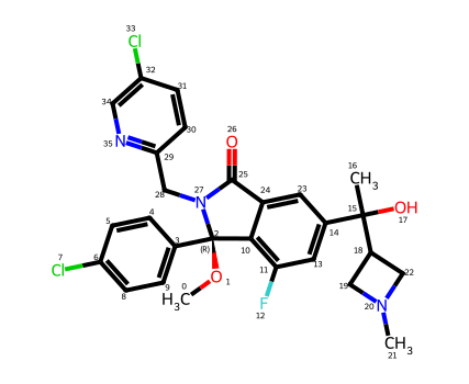 CO[C@]1(c2ccc(Cl)cc2)c2c(F)cc(C(C)(O)C3CN(C)C3)cc2C(=O)N1Cc1ccc(Cl)cn1